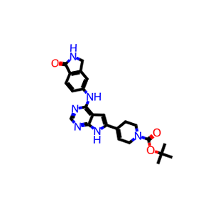 CC(C)(C)OC(=O)N1CC=C(c2cc3c(Nc4ccc5c(c4)CNC5=O)ncnc3[nH]2)CC1